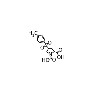 Cc1ccc(S(=O)(=O)[C@H]2C[C@@H](C(=O)O)N(C(=O)O)C2)cc1